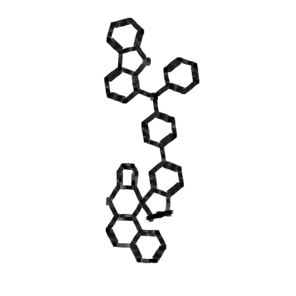 c1ccc(N(c2ccc(-c3ccc4c(c3)C3(c5ccccc5Sc5ccc6ccccc6c53)c3ccccc3-4)cc2)c2cccc3c2oc2ccccc23)cc1